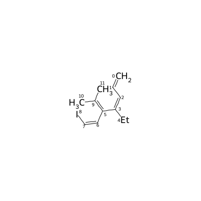 C=C/C=C(/CC)C(/C=C\I)=C(C)C